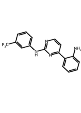 Nc1ccccc1-c1ccnc(Nc2cccc(C(F)(F)F)c2)n1